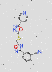 N#Cc1cccc(-c2noc(CSc3nnc(-c4ccncc4)o3)n2)c1